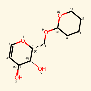 O[C@@H]1[C@@H](O)C=CO[C@@H]1COC1CCCCO1